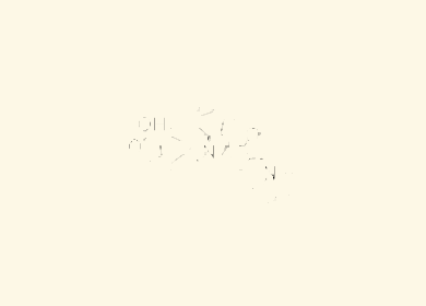 O=C(O)c1ccc(Cn2c3c(c4ccccc42)C(=O)C(CN2CCCC2)CC3)cc1